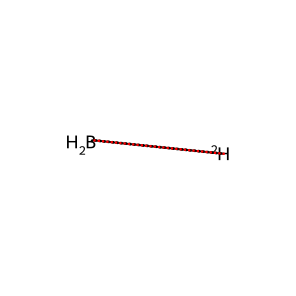 [2H]C#CC#CC#CC#CC#CC#CC#CC#CC#CC#CC#CC#CC#CC#CC#CC#CC#CC#CC#CC#CC#CC#CC#CC#CC#CC#CC#CC#CC#CC#CCB